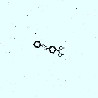 COC(OC)c1ccc(SCc2ccccc2)cc1